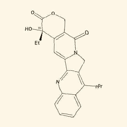 CCCc1c2c(nc3ccccc13)-c1cc3c(c(=O)n1C2)COC(=O)[C@]3(O)CC